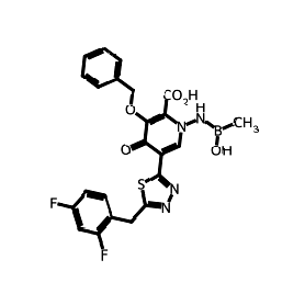 CB(O)Nn1cc(-c2nnc(Cc3ccc(F)cc3F)s2)c(=O)c(OCc2ccccc2)c1C(=O)O